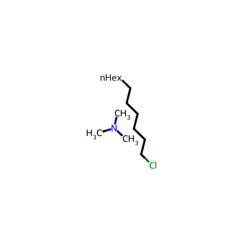 CCCCCCCCCCCCCl.CN(C)C